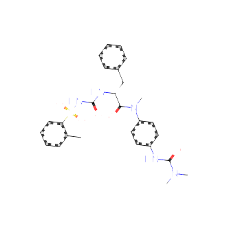 Cc1ccccc1S(=O)(=O)NC(=O)N[C@@H](Cc1ccccc1)C(=O)N(C)c1ccc(NC(=O)N(C)C)cc1